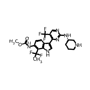 COC(=O)Nc1ccc2c(-c3nc(N[C@H]4CCCNC4)ncc3C(F)(F)F)c[nH]c2c1C(C)(F)F